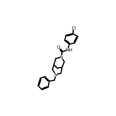 O=C(Nc1ccc(Cl)cc1)N1CC2CC(CN(Cc3ccccc3)C2)C1